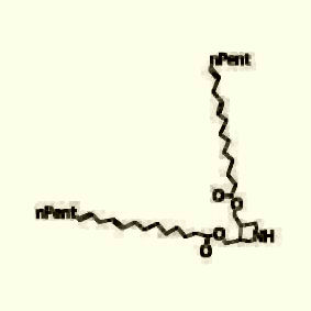 CCCCCC=CCC=CCCCCCCCC(=O)OCC1CNCC1COC(=O)CCCCCCCC=CCC=CCCCCC